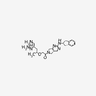 CC(C/C(=C/N)NN)OCC(=O)N1Cc2cnc(NC3Cc4ccccc4C3)nc2C1